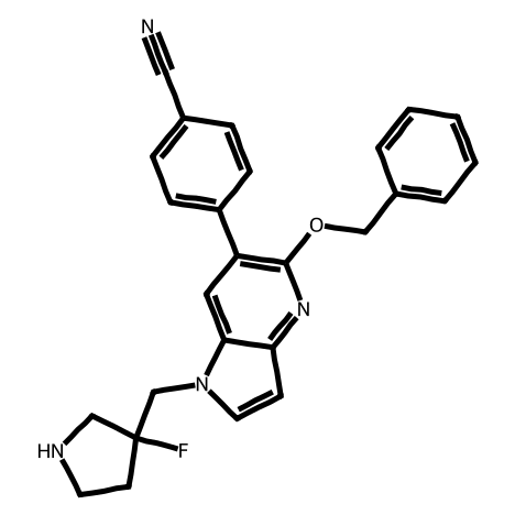 N#Cc1ccc(-c2cc3c(ccn3CC3(F)CCNC3)nc2OCc2ccccc2)cc1